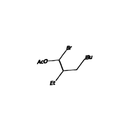 CCC(C)CC(CC)C(Br)OC(C)=O